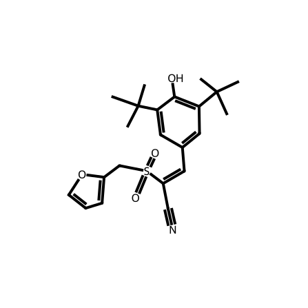 CC(C)(C)c1cc(C=C(C#N)S(=O)(=O)Cc2ccco2)cc(C(C)(C)C)c1O